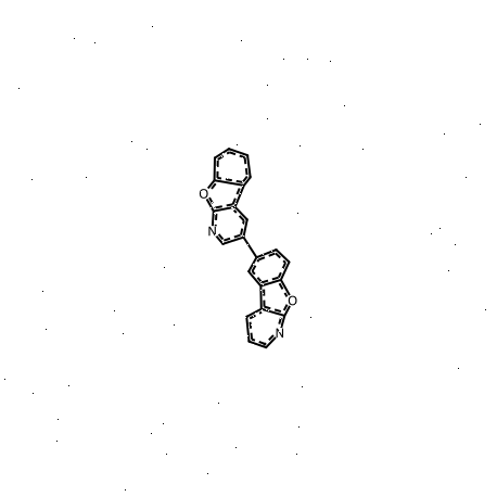 c1ccc2c(c1)oc1ncc(-c3ccc4oc5ncccc5c4c3)cc12